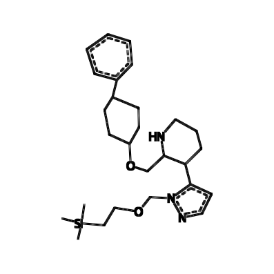 C[Si](C)(C)CCOCn1nccc1C1CCCNC1COC1CCC(c2ccccc2)CC1